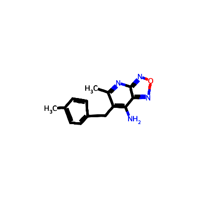 Cc1ccc(Cc2c(C)nc3nonc3c2N)cc1